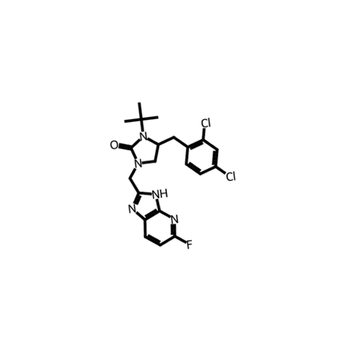 CC(C)(C)N1C(=O)N(Cc2nc3ccc(F)nc3[nH]2)CC1Cc1ccc(Cl)cc1Cl